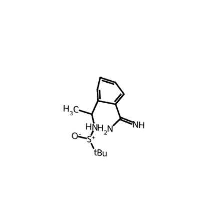 CC(N[S+]([O-])C(C)(C)C)c1ccccc1C(=N)N